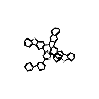 c1ccc(-c2cccc(-c3nc(-c4ccc5c(c4)sc4ccccc45)nc(-c4cc5c(cc4-n4c6cc7ccccc7cc6c6cc7ccccc7cc64)oc4ccccc45)n3)c2)cc1